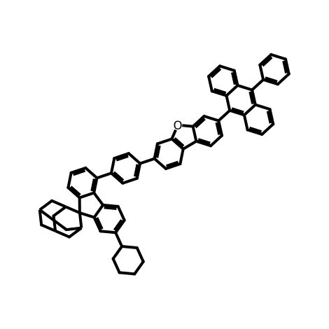 c1ccc(-c2c3ccccc3c(-c3ccc4c(c3)oc3cc(-c5ccc(-c6cccc7c6-c6ccc(C8CCCCC8)cc6C76C7CC8CC(C7)CC6C8)cc5)ccc34)c3ccccc23)cc1